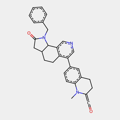 CN1C(=C=O)CCc2cc(-c3cncc4c3CCC3CC(=O)N(Cc5ccccc5)C43)ccc21